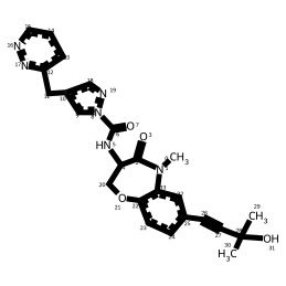 CN1C(=O)C(NC(=O)n2cc(Cc3cccnn3)cn2)COc2ccc(C#CC(C)(C)O)cc21